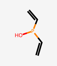 C=CP(O)C=C